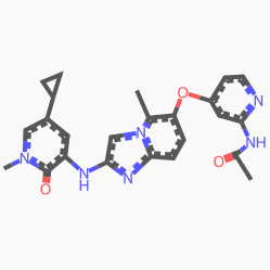 CC(=O)Nc1cc(Oc2ccc3nc(Nc4cc(C5CC5)cn(C)c4=O)cn3c2C)ccn1